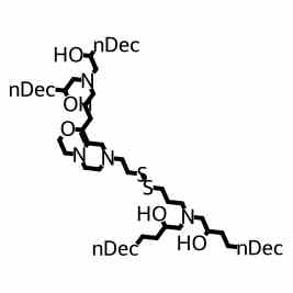 CCCCCCCCCCCCC(O)CN(CCCSSCCN1CCN2CCOC(CCCN(CC(O)CCCCCCCCCC)CC(O)CCCCCCCCCC)=C2C1)CC(O)CCCCCCCCCCCC